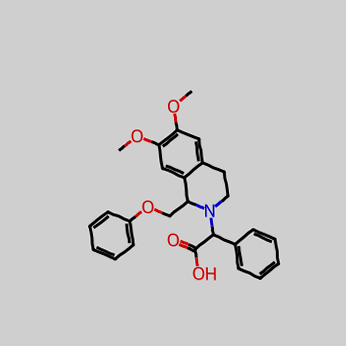 COc1cc2c(cc1OC)C(COc1ccccc1)N(C(C(=O)O)c1ccccc1)CC2